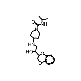 CC(C)NC(=O)N1CCC(NCC(O)C2COc3ccccc3O2)CC1